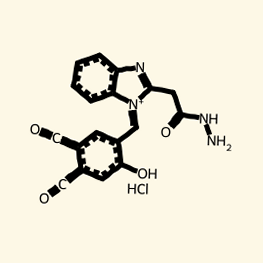 Cl.NNC(=O)CC1=Nc2ccccc2[N+]1=Cc1cc(=C=O)c(=C=O)cc1O